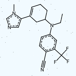 CCN(c1ccc(C#N)c(C(F)(F)F)c1)C1CCC=C(c2cncn2C)C1